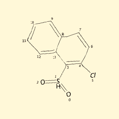 O=[SH](=O)c1c(Cl)ccc2ccccc12